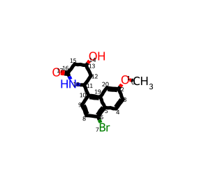 COc1ccc2c(Br)ccc(C3CC(O)CC(=O)N3)c2c1